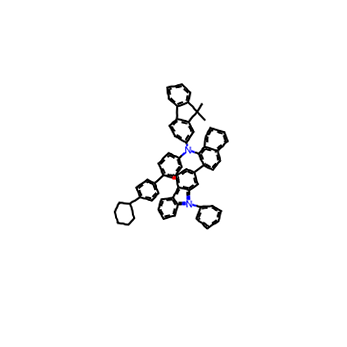 CC1(C)c2ccccc2-c2ccc(N(c3ccc(-c4ccc(C5CCCCC5)cc4)cc3)c3c(-c4ccc5c6ccccc6n(-c6ccccc6)c5c4)ccc4ccccc34)cc21